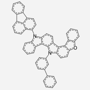 c1ccc(-c2cccc(-n3c4ccc5oc6ccccc6c5c4c4ccc5c(c6ccccc6n5-c5ccc6c7c(cccc57)-c5ccccc5-6)c43)c2)cc1